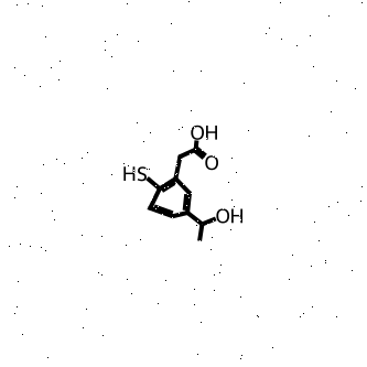 CC(O)c1ccc(S)c(CC(=O)O)c1